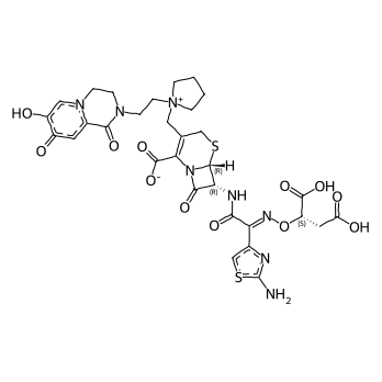 Nc1nc(C(=NO[C@@H](CC(=O)O)C(=O)O)C(=O)N[C@@H]2C(=O)N3C(C(=O)[O-])=C(C[N+]4(CCN5CCn6cc(O)c(=O)cc6C5=O)CCCC4)CS[C@H]23)cs1